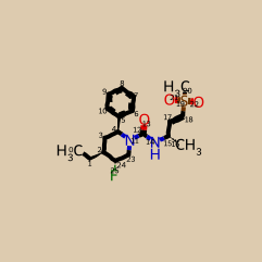 CC[C@H]1C[C@@H](c2ccccc2)N(C(=O)N[C@@H](C)/C=C/S(C)(=O)=O)C[C@@H]1F